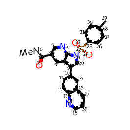 CNC(=O)c1cnc2c(c1)c(-c1ccc3ncccc3c1)cn2S(=O)(=O)c1ccc(C)cc1